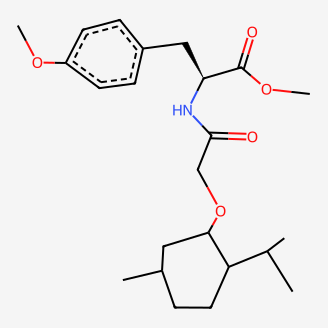 COC(=O)[C@H](Cc1ccc(OC)cc1)NC(=O)COC1CC(C)CCC1C(C)C